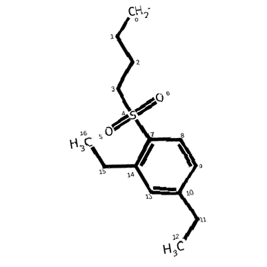 [CH2]CCCS(=O)(=O)c1ccc(CC)cc1CC